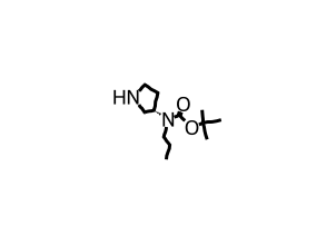 CCCN(C(=O)OC(C)(C)C)[C@H]1CCNC1